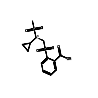 CS(=O)(=O)[C@H](CS(=O)(=O)c1ccccc1C(=O)O)C1CC1